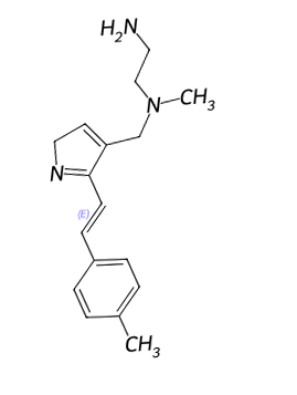 Cc1ccc(/C=C/C2=NCC=C2CN(C)CCN)cc1